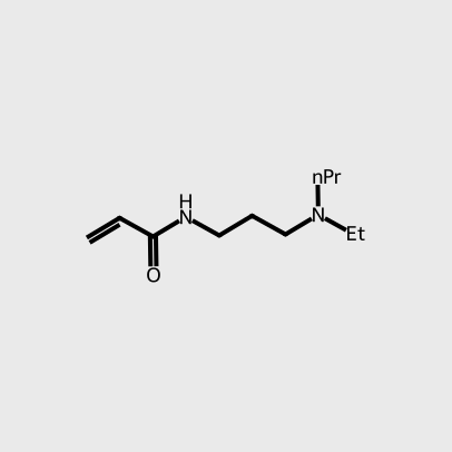 C=CC(=O)NCCCN(CC)CCC